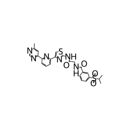 Cc1cc(-c2cccc(-c3csc(NC(=O)CNC(=O)c4cccc(S(=O)(=O)C(C)C)c4)n3)n2)ncn1